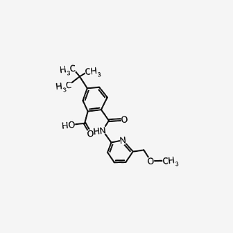 COCc1cccc(NC(=O)c2ccc(C(C)(C)C)cc2C(=O)O)n1